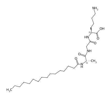 CCCCCCCCCCCCCCCC(=O)N[C@@H](C)C(=O)NCC(=O)N[C@@H](CCCCN)C(=O)O